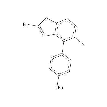 Cc1ccc2c(c1-c1ccc(C(C)(C)C)cc1)C=C(Br)C2